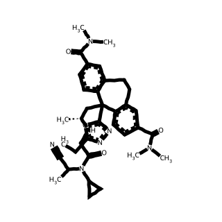 CCc1nnc(C2(C[C@@H](C)NCC(=O)N(C(C)C#N)C3CC3)c3ccc(C(=O)N(C)C)cc3CCc3cc(C(=O)N(C)C)ccc32)o1